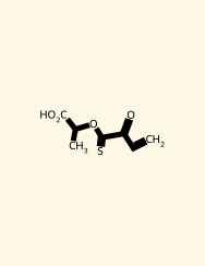 C=CC(=O)C(=S)OC(C)C(=O)O